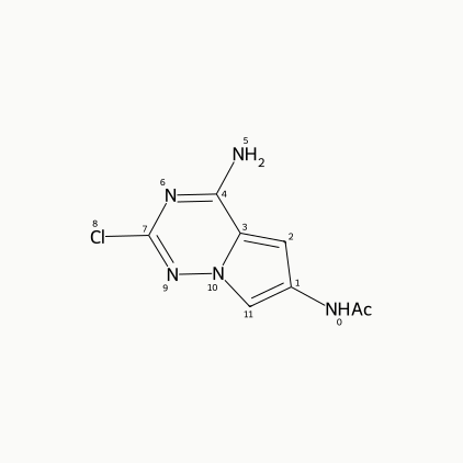 CC(=O)Nc1cc2c(N)nc(Cl)nn2c1